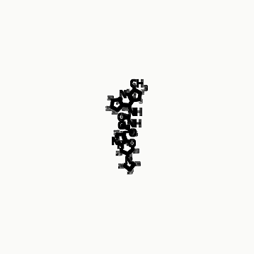 CC1CCc2c1nc1c(c2NC(=O)NS(=O)(=O)c2cnn3c2OCC(N2CCC2)C3)CCC1